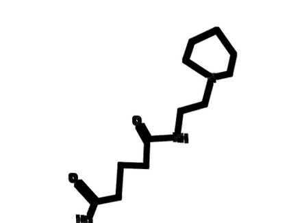 O=C(O)CCCC(=O)NCCN1CCCCC1